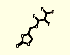 O=C1OCC(COC(F)C(F)C(F)F)O1